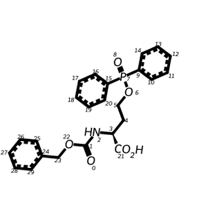 O=C(N[C@@H](CCOP(=O)(c1ccccc1)c1ccccc1)C(=O)O)OCc1ccccc1